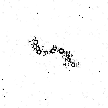 CC(C)(C)c1cc(NC(=O)Nc2ccc(-n3cnc4cc(OCC(=O)Nc5cccc6c5CN(C5CCC(=O)NC5=O)C6=O)ccc43)cc2)no1